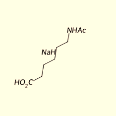 CC(=O)NCCCCCC(=O)O.[NaH]